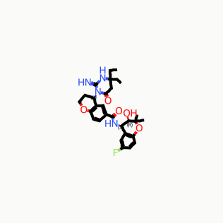 CCC1(CC)CC(=O)N([C@@H]2CCOc3ccc(C(=O)N[C@H]4c5cc(F)ccc5OC(C)(C)[C@@H]4O)cc32)C(=N)N1